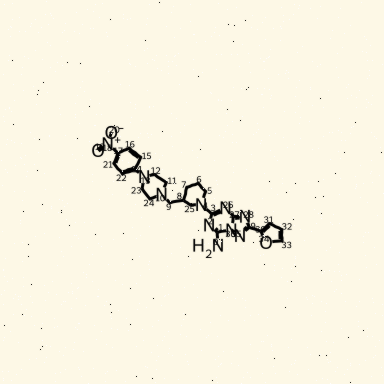 Nc1nc(N2CCCC(CN3CCN(c4ccc([N+](=O)[O-])cc4)CC3)C2)nc2nc(-c3ccco3)nn12